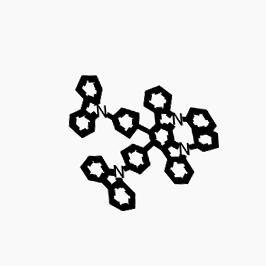 c1ccc(-n2c3ccccc3c3c(-c4ccc(-n5c6ccccc6c6ccccc65)cc4)c(-c4ccc(-n5c6ccccc6c6ccccc65)cc4)c4c5ccccc5n(-c5ccccc5)c4c32)cc1